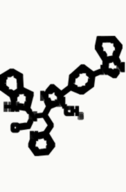 Cn1c(-c2ccc(-n3cnc4ccccc43)cc2)cnc1C(Cc1ccccn1)N(C=O)c1cc2ccccc2[nH]1